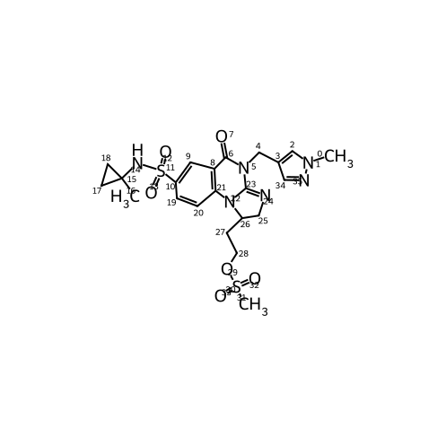 Cn1cc(CN2C(=O)c3cc(S(=O)(=O)NC4(C)CC4)ccc3N3C2=NCC3CCOS(C)(=O)=O)cn1